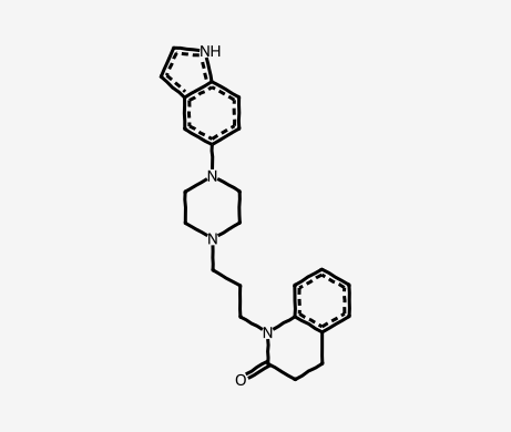 O=C1CCc2ccccc2N1CCCN1CCN(c2ccc3[nH]ccc3c2)CC1